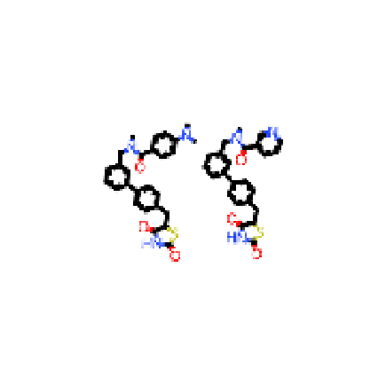 CN(Cc1cccc(-c2ccc(CC3SC(=O)NC3=O)cc2)c1)C(=O)c1ccc(N(C)C)cc1.CN(Cc1cccc(-c2ccc(CC3SC(=O)NC3=O)cc2)c1)C(=O)c1cccnc1